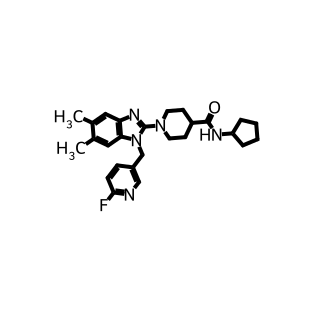 Cc1cc2nc(N3CCC(C(=O)NC4CCCC4)CC3)n(Cc3ccc(F)nc3)c2cc1C